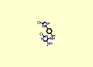 CNc1cnc(Cl)nc1NC(C)c1ccc(-c2nc(Cl)cn2C)cc1